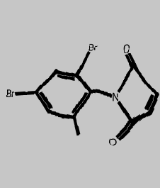 Cc1cc(Br)cc(Br)c1N1C(=O)C=CC1=O